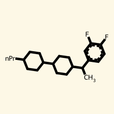 CCCC1CCC(C2CCC(C(C)c3ccc(F)c(F)c3)CC2)CC1